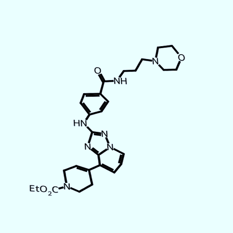 CCOC(=O)N1CC=C(c2cccn3nc(Nc4ccc(C(=O)NCCCN5CCOCC5)cc4)nc23)CC1